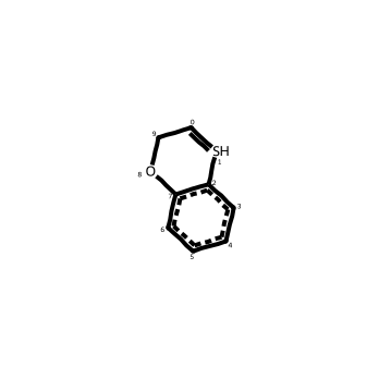 C1=[SH]c2ccccc2OC1